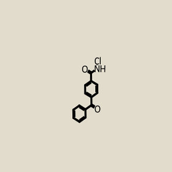 O=C(NCl)c1ccc(C(=O)c2ccccc2)cc1